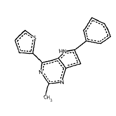 Cc1nc(-c2cccs2)c2[nH]c(-c3ccccc3)cc2n1